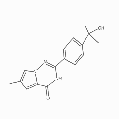 Cc1cc2c(=O)[nH]c(-c3ccc(C(C)(C)O)cc3)nn2c1